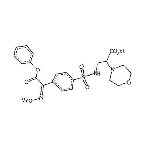 CCOC(=O)C(CNS(=O)(=O)c1ccc(C(=NOC)C(=O)Oc2ccccc2)cc1)N1CCOCC1